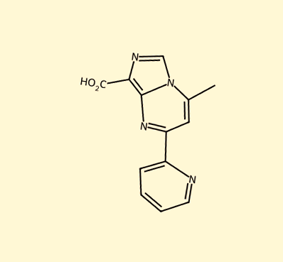 Cc1cc(-c2ccccn2)nc2c(C(=O)O)ncn12